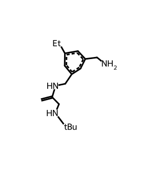 C=C(CNC(C)(C)C)NCc1cc(CC)cc(CN)c1